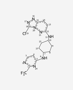 FC(F)(F)c1nccc(NC2CCC(Nc3ccc4nnc(Cl)n4n3)CC2)n1